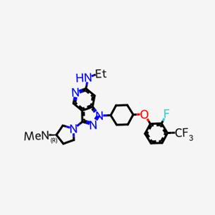 CCNc1cc2c(cn1)c(N1CC[C@@H](NC)C1)nn2C1CCC(Oc2cccc(C(F)(F)F)c2F)CC1